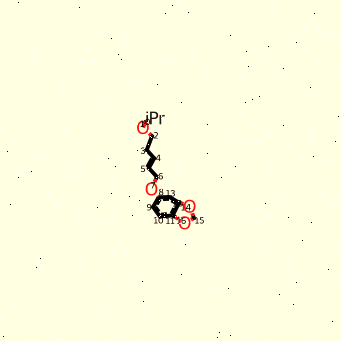 CC(C)OCCC=CCOc1ccc2c(c1)OCO2